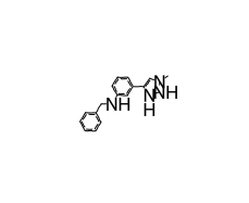 CN1C=C(c2cccc(NCc3ccccc3)c2)NN1